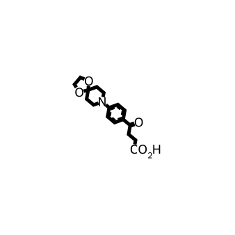 O=C(O)CCC(=O)c1ccc(N2CCC3(CC2)OCCO3)cc1